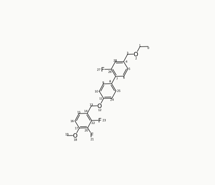 CCOCc1ccc(-c2ccc(OCc3ccc(OC)c(F)c3F)cc2)c(F)c1